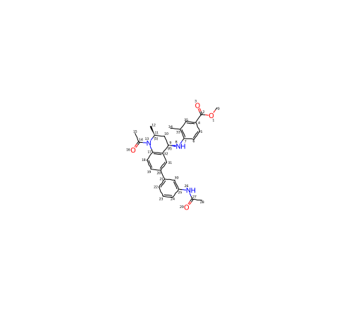 COC(=O)c1ccc(N[C@@H]2C[C@H](C)N(C(C)=O)c3ccc(-c4cccc(NC(C)=O)c4)cc32)c(C)c1